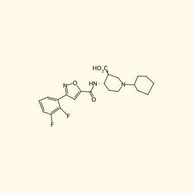 O=C(N[C@H]1CCN(C2CCCCC2)C[C@@H]1C(=O)O)c1cc(-c2cccc(F)c2F)no1